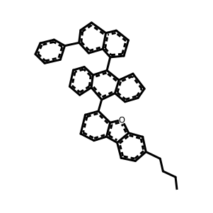 CCCCc1ccc2c(c1)oc1c(-c3c4ccccc4c(-c4cccc5ccc(-c6ccccc6)cc45)c4ccccc34)cccc12